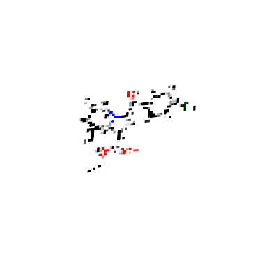 CCOC(O)c1cc(C(=O)c2ccc(F)cc2)n2cc(C)cc(C)c12